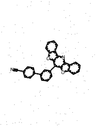 N#Cc1ccc(-c2cccc(-c3c4oc5ccccc5c4nc4c3oc3ccccc34)c2)cc1